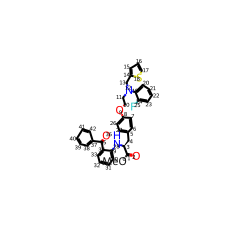 COC(=O)[C@H](Cc1ccc(OCCN(Cc2cccs2)c2ccccc2F)cc1)Nc1ccccc1C(=O)c1ccccc1